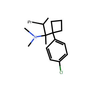 CC(C)C(C)C(C)(N(C)C)C1(c2ccc(Cl)cc2)CCC1